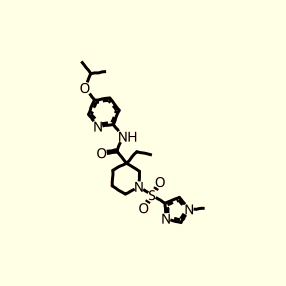 CCC1(C(=O)Nc2ccc(OC(C)C)cn2)CCCN(S(=O)(=O)c2cn(C)cn2)C1